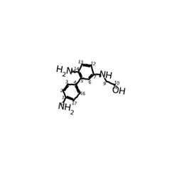 Nc1ccc(-c2cc(NCCO)ccc2N)cc1